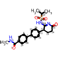 CNC(=O)c1ccc(-c2ccc(C3CCC(=O)N=C3NS(=O)(=O)C(C)C)cc2)cc1